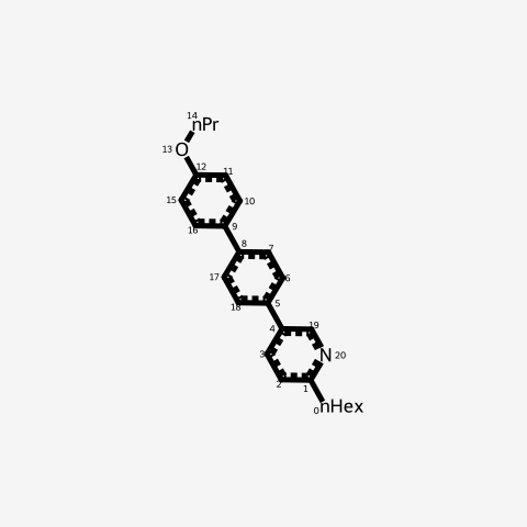 CCCCCCc1ccc(-c2ccc(-c3ccc(OCCC)cc3)cc2)cn1